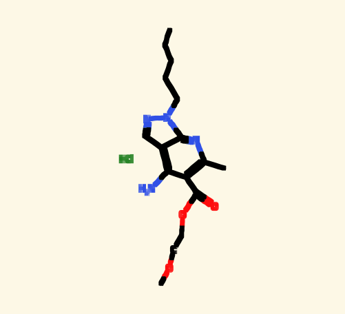 CCCCCn1ncc2c(N)c(C(=O)OCCOC)c(C)nc21.Cl